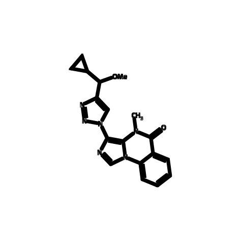 COC(c1cn(-c2ncn3c4ccccc4c(=O)n(C)c23)nn1)C1CC1